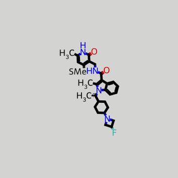 CSc1cc(C)[nH]c(=O)c1CNC(=O)c1c(C)n([C@H](C)C2CCC(N3CC(F)C3)CC2)c2ccccc12